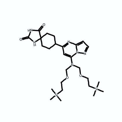 C[Si](C)(C)CCOCN(COCC[Si](C)(C)C)c1cc(C2CCC3(CC2)NC(=O)NC3=O)nc2ccnn12